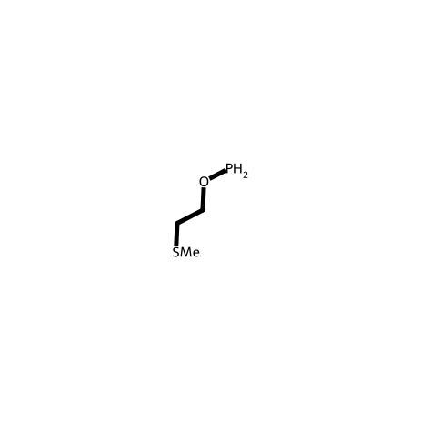 CSCCOP